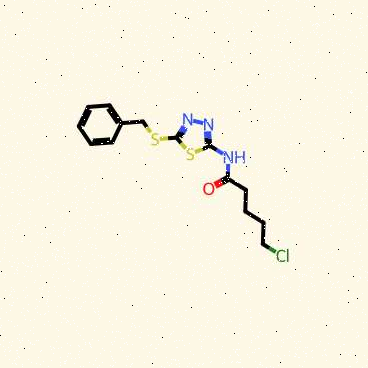 O=C(CCCCCl)Nc1nnc(SCc2ccccc2)s1